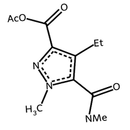 CCc1c(C(=O)OC(C)=O)nn(C)c1C(=O)NC